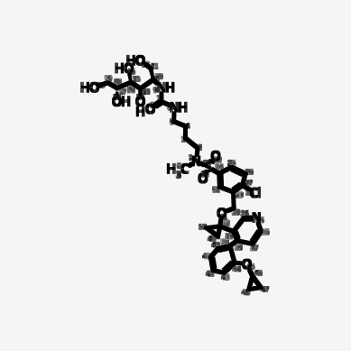 CN(CCCCNC(=O)N[C@H](CO)[C@@H](O)[C@H](O)[C@H](O)CO)S(=O)(=O)c1ccc(Cl)c(COC2(c3cnccc3-c3ccccc3OC3CC3)CC2)c1